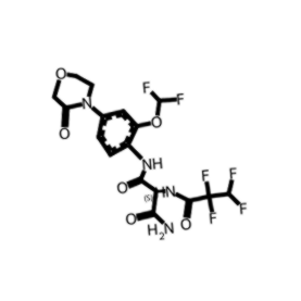 NC(=O)[C@H](NC(=O)C(F)(F)C(F)F)C(=O)Nc1ccc(N2CCOCC2=O)cc1OC(F)F